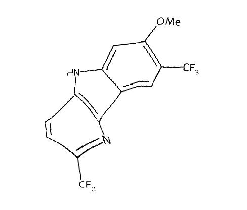 COc1cc2[nH]c3ccc(C(F)(F)F)nc3c2cc1C(F)(F)F